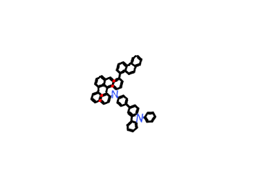 c1ccc(-c2cccc3cccc(-c4ccccc4N(c4ccc(-c5ccc6c(c5)c5ccccc5n6-c5ccccc5)cc4)c4ccc(-c5cccc6c5ccc5ccccc56)cc4)c23)cc1